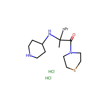 CCCC(C)(NC1CCNCC1)C(=O)N1CCSCC1.Cl.Cl